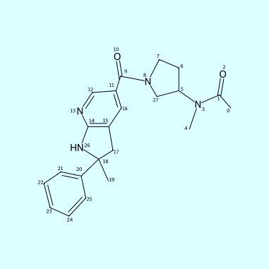 CC(=O)N(C)C1CCN(C(=O)c2cnc3c(c2)CC(C)(c2ccccc2)N3)C1